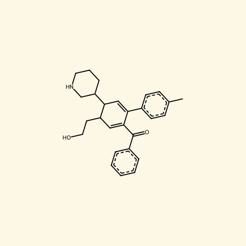 Cc1ccc(C2=CC(C3CCCNC3)[C](CCO)C=C2C(=O)c2ccccc2)cc1